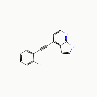 CC(=O)c1ccccc1C#Cc1ccnc2[nH]ccc12